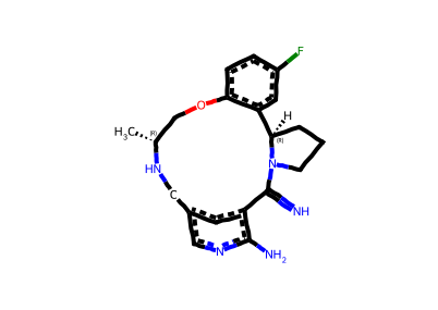 C[C@@H]1COc2ccc(F)cc2[C@H]2CCCN2C(=N)c2cc(cnc2N)CN1